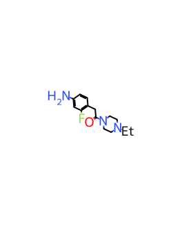 CCN1CCN(C(=O)Cc2ccc(N)cc2F)CC1